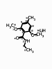 CCPC(=O)c1c(OC)cc(C)cc1OC.[LiH]